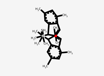 CC1=Cc2c(C)cc(C)cc2[CH]1[Zr]([CH3])([CH3])([CH3])([CH3])(=[SiH2])[CH]1C(C)=Cc2c(C)cc(C)cc21